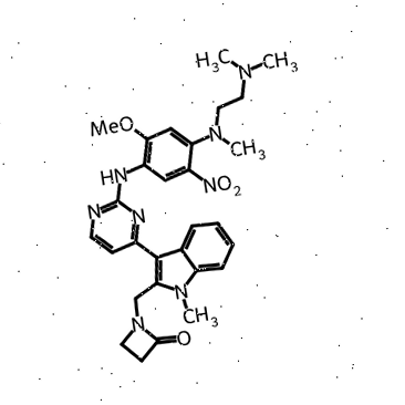 COc1cc(N(C)CCN(C)C)c([N+](=O)[O-])cc1Nc1nccc(-c2c(CN3CCC3=O)n(C)c3ccccc23)n1